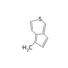 [CH2]c1ccc2csccc1-2